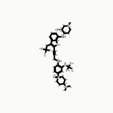 CN1CC[C@H](Nc2cccc3c(CC(F)(F)F)c(C#CCNc4ccc(P5(=O)CCC(N(C)C)CC5)cc4OC(F)(F)F)sc23)[C@@H](F)C1